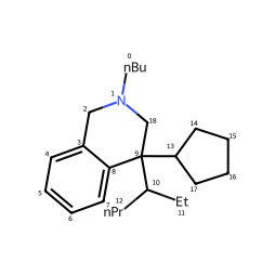 CCCCN1Cc2ccccc2C(C(CC)CCC)(C2CCCC2)C1